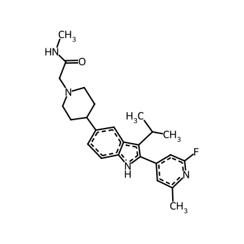 CNC(=O)CN1CCC(c2ccc3[nH]c(-c4cc(C)nc(F)c4)c(C(C)C)c3c2)CC1